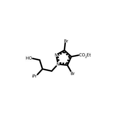 CCOC(=O)c1c(Br)nn(CC(CO)C(C)C)c1Br